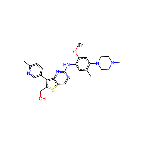 Cc1ccc(-c2c(CO)sc3cnc(Nc4cc(C)c(N5CCN(C)CC5)cc4OC(C)C)nc23)cn1